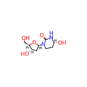 O=C1N[C@H](O)CCN1[C@H]1C[C@H](O)[C@@H](CO)O1